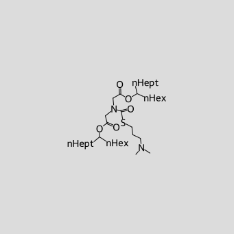 CCCCCCCC(CCCCCC)OC(=O)CN(CC(=O)OC(CCCCCC)CCCCCCC)C(=O)SCCCN(C)C